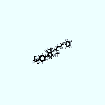 Cc1c(-c2ccc(C(F)(F)F)cc2)n[nH]c1NC(=O)CCCN1CCCC1